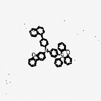 c1ccc([Si]2(c3ccc(N(c4ccc(-c5cccc6ccccc56)cc4)c4ccc5c(c4)oc4ccccc45)cc3)c3ccccc3Oc3ccccc32)cc1